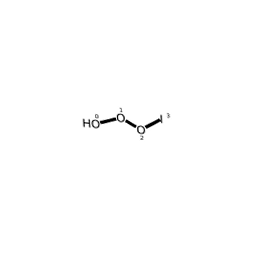 OOOI